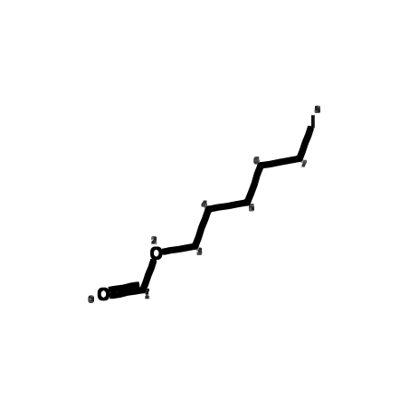 O=[C]OCCCCCI